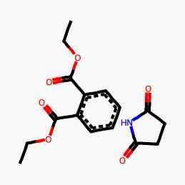 CCOC(=O)c1ccccc1C(=O)OCC.O=C1CCC(=O)N1